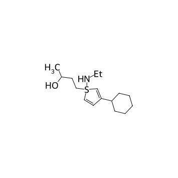 CCNS1(CCC(C)O)C=CC(C2CCCCC2)=C1